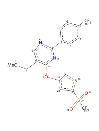 COCc1cnc(-c2ccc(C(F)(F)F)cc2)nc1Oc1csc(S(=O)(=O)C(F)(F)F)c1